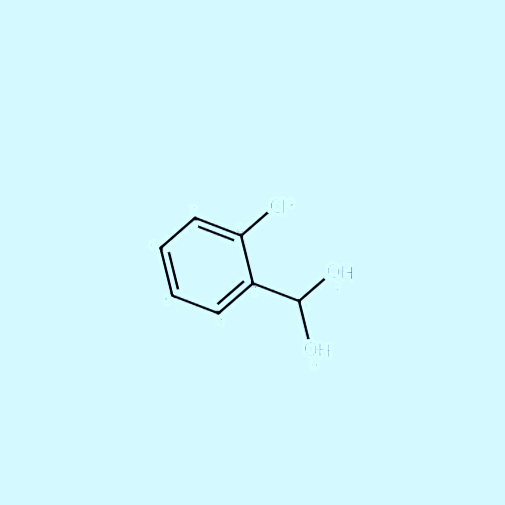 OC(O)c1ccccc1Cl